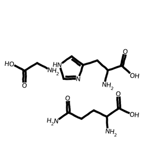 NC(=O)CCC(N)C(=O)O.NC(Cc1c[nH]cn1)C(=O)O.NCC(=O)O